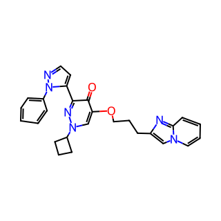 O=c1c(OCCCc2cn3ccccc3n2)cn(C2CCC2)nc1-c1ccnn1-c1ccccc1